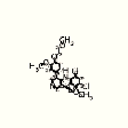 COCCOc1ccc(-c2cncc(C#N)c2Nc2cc(OC)c(Cl)cc2Cl)cc1OC